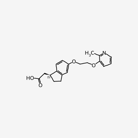 Cc1ncccc1OCCOc1ccc2c(c1)CC[C@H]2CC(=O)O